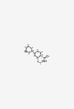 O=C1NCCc2cc(-c3cccnc3)ccc21